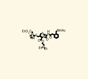 CCOC(=O)Cn1nnnc1SCC1=C(C(=O)OCCN(CC)CC)N2C(=O)[C@@H](NC(=O)Cc3ccccc3CNC(C)=O)C2SC1